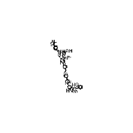 Cc1ncsc1-c1ccc(CNC(=O)[C@@H]2C[C@@H](O)CN2C(=O)C(c2cc(N3CCC(CCN4CCC(c5cnc(N6CCc7[nH]c8nnc(-c9ccccc9O)cc8c7[C@H]6C)nc5)CC4)CC3)no2)C(C)C)cc1